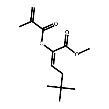 C=C(C)C(=O)OC(=CCC(C)(C)C)C(=O)OC